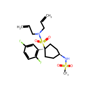 C=CCN(CC=C)S(=O)(=O)[C@]1(c2cc(F)ccc2F)CC[C@H](NS(=O)(=O)C(F)(F)F)CC1